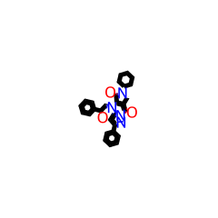 O=C(Cn1c2c(c(=O)n3nc(-c4ccccc4)cc13)CN(C1CCCCC1)C2=O)c1ccccc1